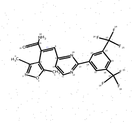 Cc1noc(C)c1/C(=C\c1ccnc(-c2cc(C(F)(F)F)cc(C(F)(F)F)c2)n1)C(N)=O